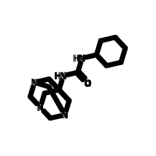 O=C(NC1CCCCC1)NC12CN3CN(CN(C3)C1)C2